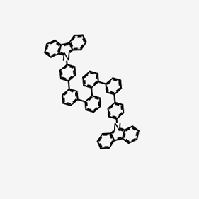 c1cc(-c2ccc(-n3c4ccccc4c4ccccc43)cc2)cc(-c2ccccc2-c2ccccc2-c2cccc(-c3ccc(-n4c5ccccc5c5ccccc54)cc3)c2)c1